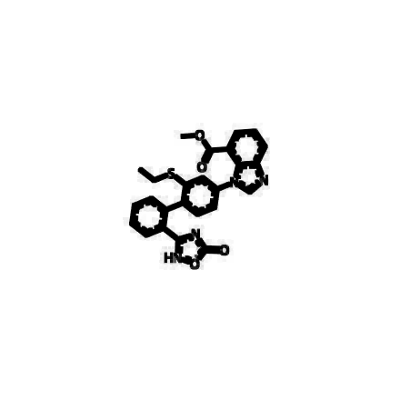 CCSc1cc(-n2cnc3cccc(C(=O)OC)c32)ccc1-c1ccccc1-c1nc(=O)o[nH]1